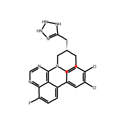 Fc1ccc(-c2ccc(Cl)c(Cl)c2)c2c(N3CCC[C@@H](CC4=NNNN4)C3)ncnc12